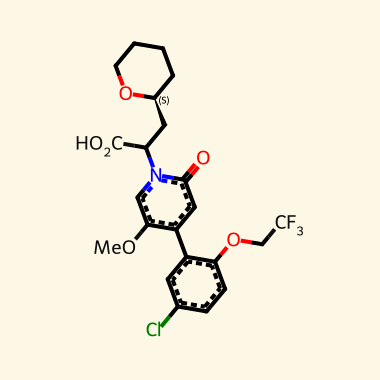 COc1cn(C(C[C@@H]2CCCCO2)C(=O)O)c(=O)cc1-c1cc(Cl)ccc1OCC(F)(F)F